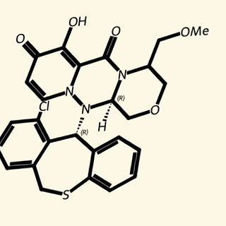 COCC1COC[C@@H]2N1C(=O)c1c(O)c(=O)ccn1N2[C@@H]1c2ccccc2SCc2cccc(Cl)c21